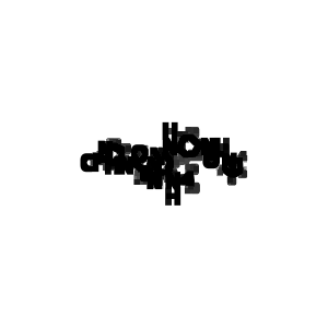 O=C(CN1CCCC1)NC1CCC(Nc2cc(NC3CC3)c3ncc(C(=O)Nc4ccnc(Cl)c4)n3n2)CC1